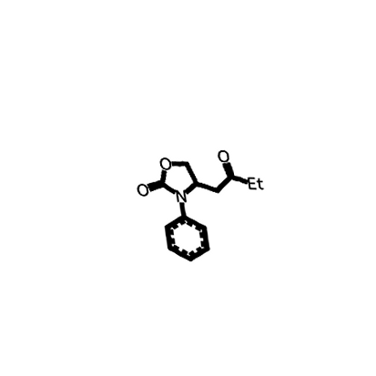 CCC(=O)CC1COC(=O)N1c1ccccc1